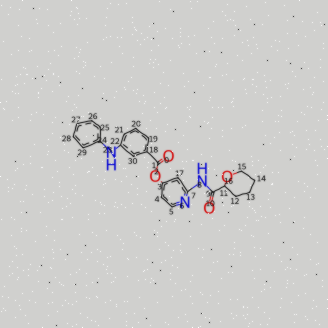 O=C(Oc1ccnc(NC(=O)C2CCCCO2)c1)c1cccc(Nc2ccccc2)c1